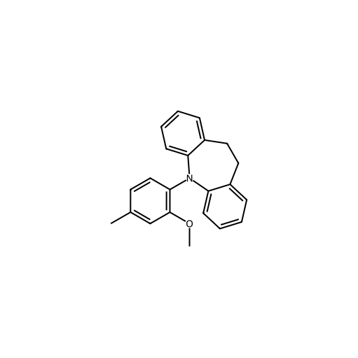 COc1cc(C)ccc1N1c2ccccc2CCc2ccccc21